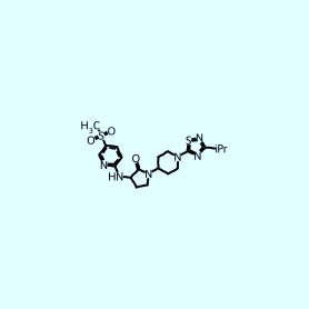 CC(C)c1nsc(N2CCC(N3CCC(Nc4ccc(S(C)(=O)=O)cn4)C3=O)CC2)n1